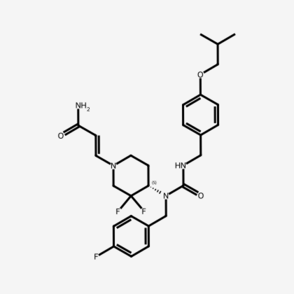 CC(C)COc1ccc(CNC(=O)N(Cc2ccc(F)cc2)[C@H]2CCN(C=CC(N)=O)CC2(F)F)cc1